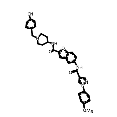 COc1ccc(-n2cc(C(=O)Nc3ccc4oc(C(=O)NC5CCN(Cc6ccc(C#N)cc6)CC5)cc4c3)cn2)cc1